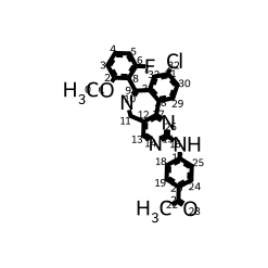 COc1cccc(F)c1C1=NCc2cnc(Nc3ccc(C(C)=O)cc3)nc2-c2ccc(Cl)cc21